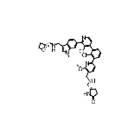 COc1nc(-c2cccc(-c3ccnc(-c4ccc5c(CNC[C@H]6CCO6)cn(C)c5c4)c3Cl)c2Cl)ccc1CNC[C@@H]1CCC(=O)N1